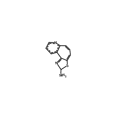 NC1N=C2C(=CC=Cc3ncccc32)S1